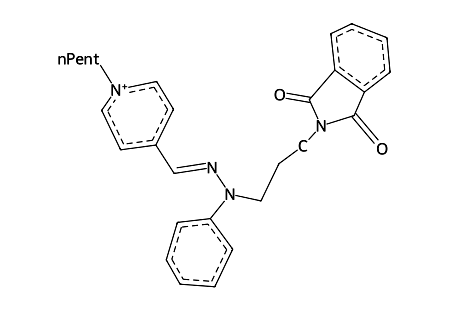 CCCCC[n+]1ccc(/C=N/N(CCCN2C(=O)c3ccccc3C2=O)c2ccccc2)cc1